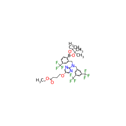 CCOC(=O)CCCOc1cnc(N(Cc2cc(C(F)(F)F)cc(C(F)(F)F)c2)Cc2cc(C(F)(F)F)ccc2B2OC(C)(C)C(C)(C)O2)nc1